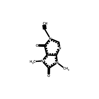 C#Cn1cnc2c(c1=O)n(C)c(=O)n2C